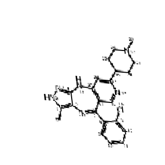 Cc1[nH]nc2c1N=C(c1ccccc1Cl)c1cnc(C3CCN(C)CC3)cc1N2